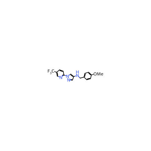 COc1ccc(CNc2cnn(-c3ccc(C(F)(F)F)cn3)c2)cc1